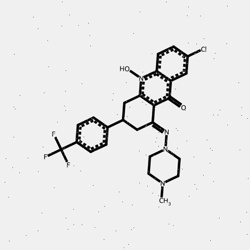 CN1CCN(N=C2CC(c3ccc(C(F)(F)F)cc3)Cc3c2c(=O)c2cc(Cl)ccc2n3O)CC1